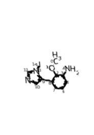 COc1c(N)cccc1-c1cncn1I